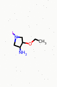 CCOC1CN(I)CC1N